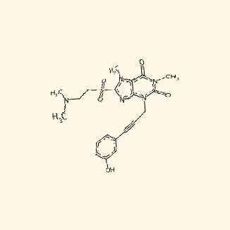 CN(C)CCS(=O)(=O)c1nc2c(c(=O)n(C)c(=O)n2CC#Cc2cccc(O)c2)n1C